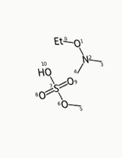 CCON(C)C.COS(=O)(=O)O